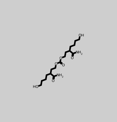 NC(=O)C(CCCCO)CCOC(=O)OCCC(CCCCO)C(N)=O